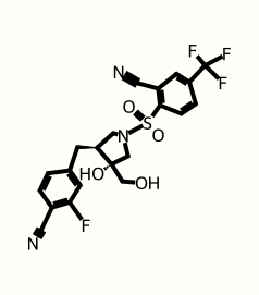 N#Cc1ccc(C[C@H]2CN(S(=O)(=O)c3ccc(C(F)(F)F)cc3C#N)C[C@@]2(O)CO)cc1F